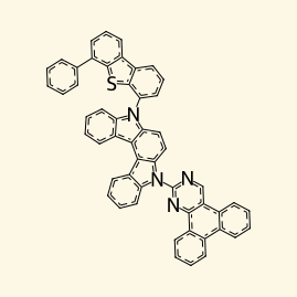 c1ccc(-c2cccc3c2sc2c(-n4c5ccccc5c5c6c7ccccc7n(-c7ncc8c9ccccc9c9ccccc9c8n7)c6ccc54)cccc23)cc1